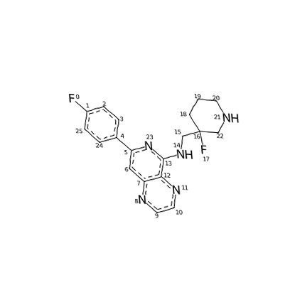 Fc1ccc(-c2cc3nccnc3c(NCC3(F)CCCNC3)n2)cc1